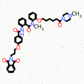 CN1CCN(C(=O)CCCCCOc2ccccc2N(C)C(=O)c2ccccc2NC(=O)c2ccc(OCCCN3C(=O)c4ccccc4C3=O)cc2)CC1